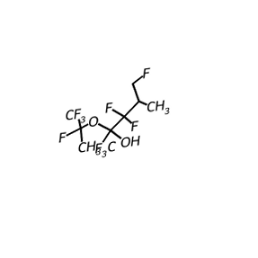 CC(CF)C(F)(F)C(O)(OC(C)(F)C(F)(F)F)C(F)(F)F